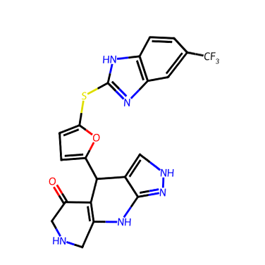 O=C1CNCC2=C1C(c1ccc(Sc3nc4cc(C(F)(F)F)ccc4[nH]3)o1)c1c[nH]nc1N2